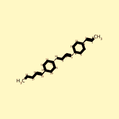 CC=C[C@H]1CC[C@H](C=CCC[C@H]2CC[C@H](C=CCCC)CC2)CC1